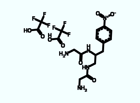 NCC(=O)NCC(Cc1ccc([N+](=O)[O-])cc1)NC(=O)CN.O=C(O)C(F)(F)F.O=C(O)C(F)(F)F